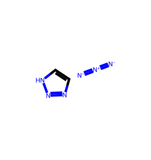 [N-]=[N+]=[N-].c1c[nH]nn1